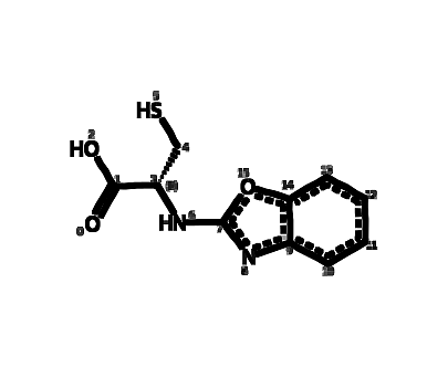 O=C(O)[C@H](CS)Nc1nc2ccccc2o1